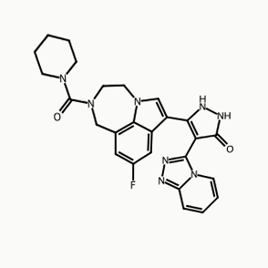 O=C(N1CCCCC1)N1CCn2cc(-c3[nH][nH]c(=O)c3-c3nnc4ccccn34)c3cc(F)cc(c32)C1